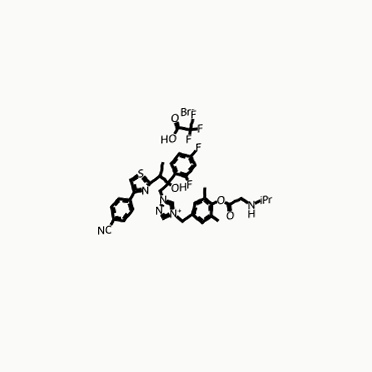 Cc1cc(C[n+]2cnn(CC(O)(c3ccc(F)cc3F)C(C)c3nc(-c4ccc(C#N)cc4)cs3)c2)cc(C)c1OC(=O)CNC(C)C.O=C(O)C(F)(F)F.[Br-]